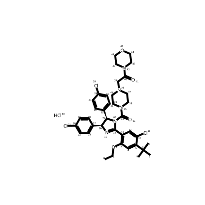 CCOc1cc(C(C)(C)C)c(Cl)cc1C1=N[C@@H](c2ccc(Cl)cc2)[C@@H](c2ccc(Cl)cc2)N1C(=O)N1CCN(CC(=O)N2CCOCC2)CC1.Cl